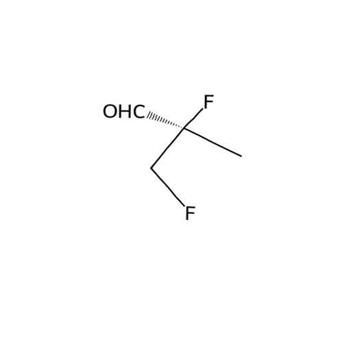 C[C@@](F)(C=O)CF